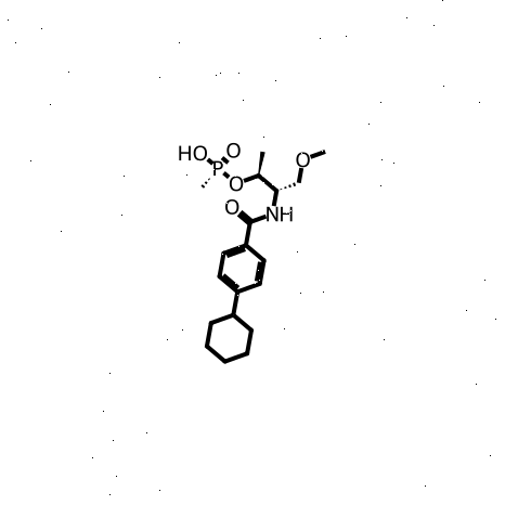 COC[C@H](NC(=O)c1ccc(C2CCCCC2)cc1)[C@H](C)O[P@](C)(=O)O